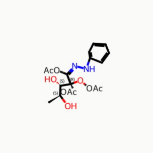 CC(=O)OO[C@@](OC(C)=O)(C(=NNc1ccccc1)OC(C)=O)[C@@H](O)[C@H](C)O